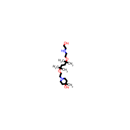 CC1(O)CCN(CCOC(C)(C)CCC(C)(C)OCCNCCO)CC1